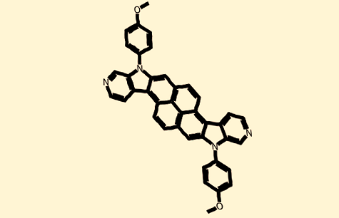 COc1ccc(-n2c3cnccc3c3c4ccc5cc6c(c7ccc(cc32)c4c57)c2ccncc2n6-c2ccc(OC)cc2)cc1